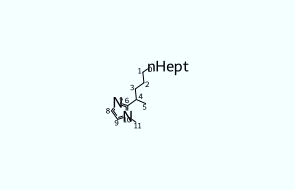 CCCCCCCCCCC(C)c1nccn1C